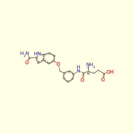 NC(=O)c1cc2cc(OCc3cccc(NC(=O)[C@@H](N)CCC(=O)O)c3)ccc2[nH]1